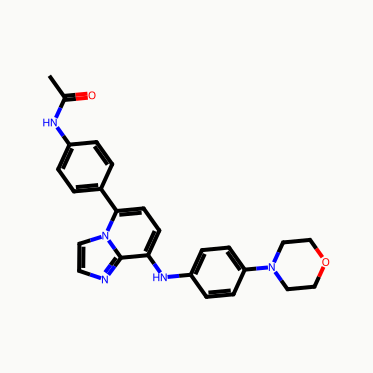 CC(=O)Nc1ccc(-c2ccc(Nc3ccc(N4CCOCC4)cc3)c3nccn23)cc1